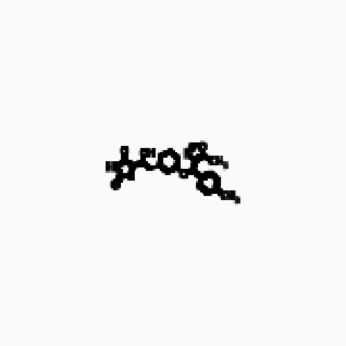 Cc1ccc(C(O[C@H]2CCC[C@@H](CC(O)C3SC(=O)NC3=O)C2)c2ncoc2C)cc1